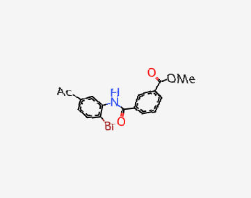 COC(=O)c1cccc(C(=O)Nc2cc(C(C)=O)ccc2Br)c1